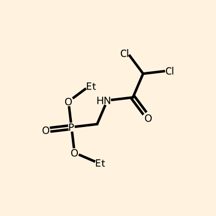 CCOP(=O)(CNC(=O)C(Cl)Cl)OCC